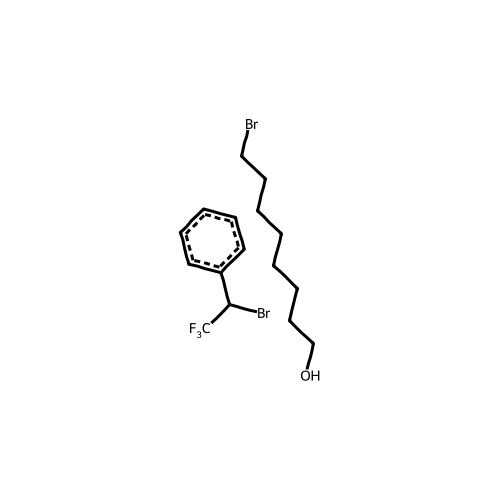 FC(F)(F)C(Br)c1ccccc1.OCCCCCCCCBr